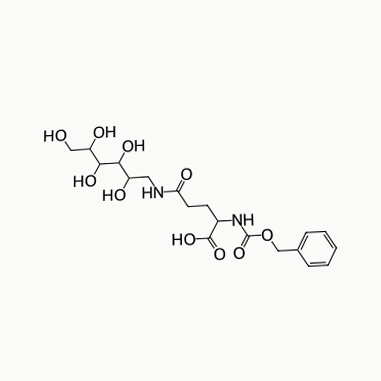 O=C(CCC(NC(=O)OCc1ccccc1)C(=O)O)NCC(O)C(O)C(O)C(O)CO